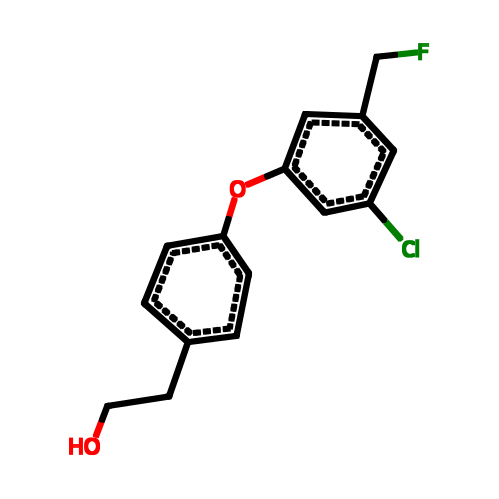 OCCc1ccc(Oc2cc(Cl)cc(CF)c2)cc1